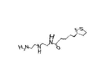 NCCNCCNC(=O)CCCC[C@@H]1CCSS1